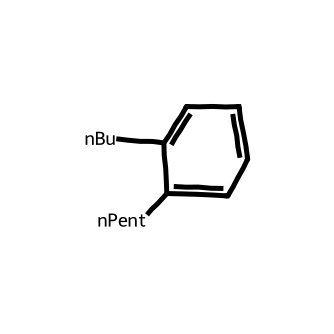 [CH2]CCCc1ccccc1CCCCC